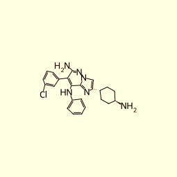 Nc1nn2cc([C@H]3CC[C@H](N)CC3)nc2c(Nc2ccccc2)c1-c1cccc(Cl)c1